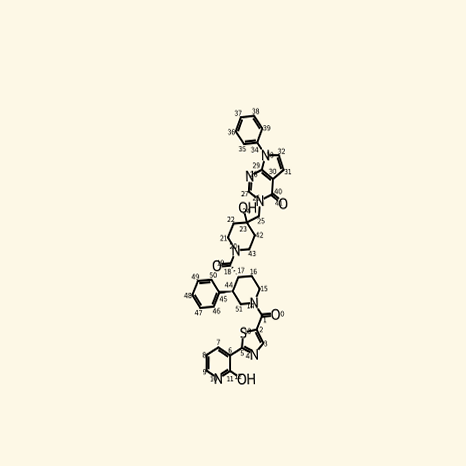 O=C(c1cnc(-c2cccnc2O)s1)N1CC[C@@H](C(=O)N2CCC(O)(Cn3cnc4c(ccn4-c4ccccc4)c3=O)CC2)[C@H](c2ccccc2)C1